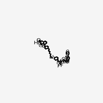 CN(CCCCCCc1ccc(Oc2cccc3c2C(=O)NC(=O)C3)cc1)C[C@H]1CC[C@H](n2cc(NC(=O)c3cnn4ccc(N5CCOCC5)nc34)c(C(F)F)n2)CC1